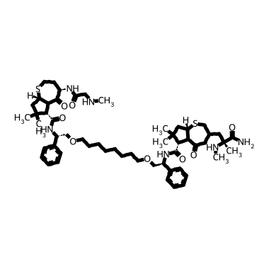 CNCC(=O)N[C@H]1CCS[C@H]2CC(C)(C)[C@@H](C(=O)N[C@H](COCCCCCCCCOC[C@@H](NC(=O)[C@H]3C4C(=O)CC(C[C@@](C)(NC)C(N)=O)CS[C@H]4CC3(C)C)c3ccccc3)c3ccccc3)C2C1=O